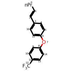 CCCC=Cc1ccc(Oc2ccc(C(F)(F)F)cc2)cc1